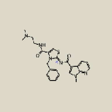 CN(C)CCNC(=O)c1cs/c(=N\C(=O)c2c[nH]c3ncccc23)n1Cc1ccccc1